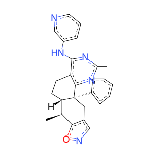 Cc1nc(Nc2cccnc2)c2c(n1)[C@@]1(c3ccccc3)Cc3cnoc3[C@@H](C)[C@@H]1CC2